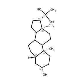 CC(O)(O)[C@H]1CCC2C3CC[C@H]4C[C@@H](O)CC[C@]4(C)C3CC[C@@]21C